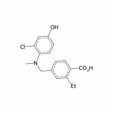 CCc1cc(CN(C)c2ccc(O)cc2Cl)ccc1C(=O)O